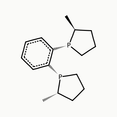 C[C@H]1CCC[P@]1c1ccccc1[P@]1CCC[C@@H]1C